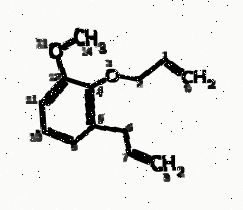 C=CCOc1c(CC=C)c[c]cc1OC